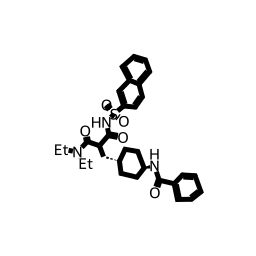 CCN(CC)C(=O)C(C[C@H]1CC[C@H](NC(=O)c2ccccc2)CC1)C(=O)NS(=O)(=O)c1ccc2ccccc2c1